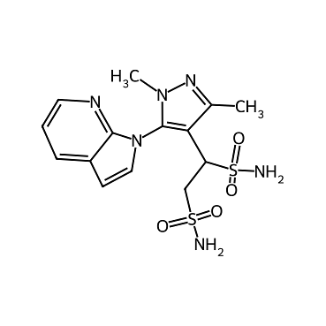 Cc1nn(C)c(-n2ccc3cccnc32)c1C(CS(N)(=O)=O)S(N)(=O)=O